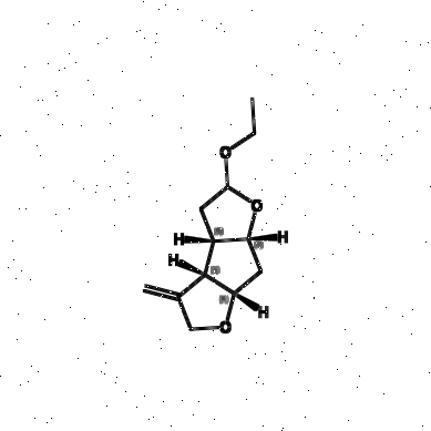 C=C1CO[C@H]2C[C@H]3OC(OCC)C[C@H]3[C@@H]12